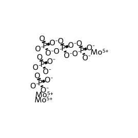 O=P([O-])([O-])[O-].O=P([O-])([O-])[O-].O=P([O-])([O-])[O-].O=P([O-])([O-])[O-].O=P([O-])([O-])[O-].[Mo+5].[Mo+5].[Mo+5]